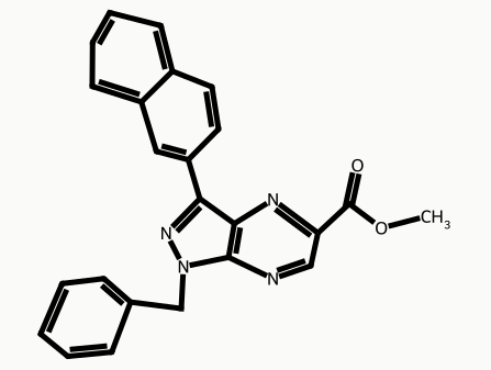 COC(=O)c1cnc2c(n1)c(-c1ccc3ccccc3c1)nn2Cc1ccccc1